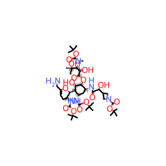 CN(C(=O)OC(C)(C)C)[C@@H]1[C@@H](O)[C@@H](O[C@@H]2[C@@H](O)[C@H](C3OC(CN)=CC[C@H]3NC(=O)OC(C)(C)C)[C@@H](NC(=O)OC(C)(C)C)C[C@H]2NC(=O)C(O)C2CN(C(=O)OC(C)(C)C)C2)OC[C@]1(C)O